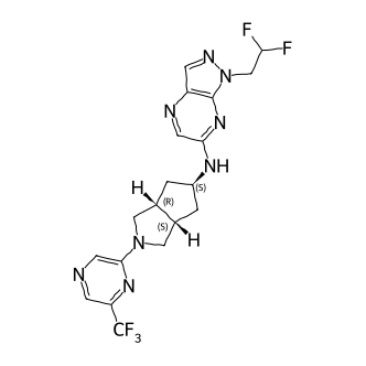 FC(F)Cn1ncc2ncc(N[C@H]3C[C@@H]4CN(c5cncc(C(F)(F)F)n5)C[C@@H]4C3)nc21